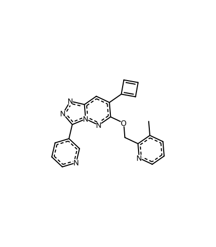 Cc1cccnc1COc1nn2c(-c3cccnc3)nnc2cc1C1=CC=C1